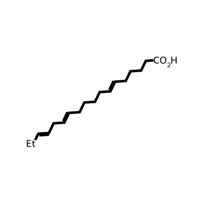 CC/C=C/C/C=C/CCCC/C=C/CCCCC(=O)O